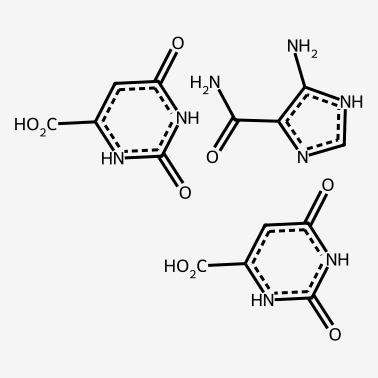 NC(=O)c1nc[nH]c1N.O=C(O)c1cc(=O)[nH]c(=O)[nH]1.O=C(O)c1cc(=O)[nH]c(=O)[nH]1